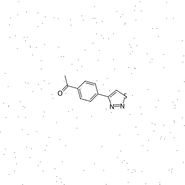 CC(=O)c1ccc(-c2csnn2)cc1